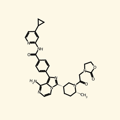 C[C@@H]1CC[C@H](c2nc(-c3ccc(C(=O)Nc4cc(C5CC5)ccn4)cc3)c3c(N)nccn23)CN1C(=O)CN1CCOC1=O